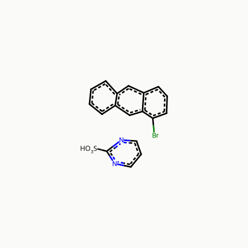 Brc1cccc2cc3ccccc3cc12.O=S(=O)(O)c1ncccn1